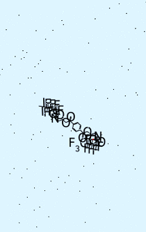 CN(CCOC(=O)c1ccc(C(=O)OCCN(C)S(=O)(=O)C(F)(F)C(F)(F)C(F)(F)C(C)(I)I)cc1)S(=O)(=O)C(F)(F)C(F)(F)C(F)(F)C(F)(F)F